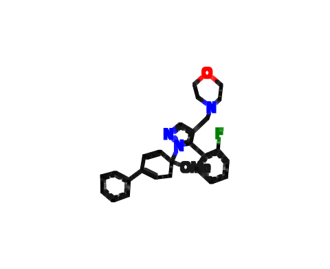 COC1(n2ncc(CN3CCOCC3)c2-c2ccccc2F)C=CC(c2ccccc2)=CC1